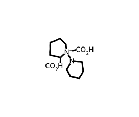 O=C(O)C1CCCC[N+]1(C(=O)O)N1CCCCC1